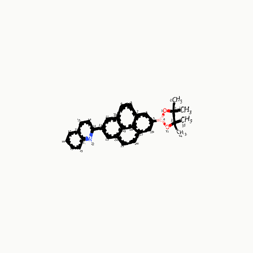 CC1(C)OB(c2cc3ccc4cc(-c5ccc6ccccc6n5)cc5ccc(c2)c3c45)OC1(C)C